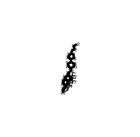 CCCCC1CCC(C2CCC(CCc3cc4ccc(OCC)c(F)c4c(F)c3F)CC2)CC1